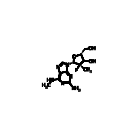 CNc1nc(N)nc2c1ncn2[C@@H]1O[C@H](CO)C(O)[C@@]1(C)F